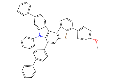 COc1ccc(-c2cccc3c2sc2cc(-c4ccc(-c5ccccc5)cc4)c4c(c5ccc(-c6ccccc6)cc5n4-c4ccccc4)c23)cc1